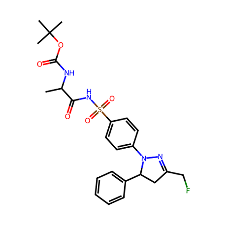 CC(NC(=O)OC(C)(C)C)C(=O)NS(=O)(=O)c1ccc(N2N=C(CF)CC2c2ccccc2)cc1